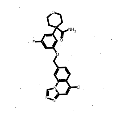 NC(=O)C1(c2cc(F)cc(OCc3ccc4c(Cl)cc5nncn5c4c3)c2)CCOCC1